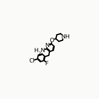 Nc1nc(OC2CCNCC2)ccc1Cc1ccc(Cl)cc1F